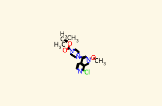 CON1C=C(N2CCN(C(=O)OC(C)(C)C)CC2)c2ccnc(Cl)c2C1